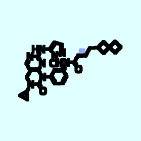 Cn1nccc1Nc1ncc2c(n1)N(c1cccc(NC(=O)/C=C/CC3CC4(CCC4)C3)c1)C(=O)N(C1CC1)C2